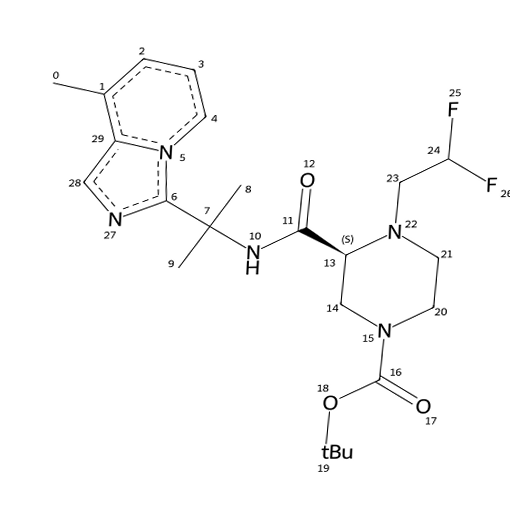 Cc1cccn2c(C(C)(C)NC(=O)[C@@H]3CN(C(=O)OC(C)(C)C)CCN3CC(F)F)ncc12